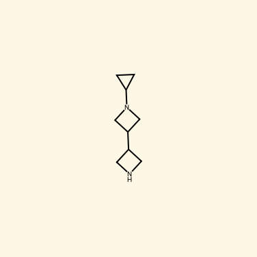 C1NCC1C1CN(C2CC2)C1